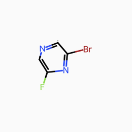 Fc1cn[c]c(Br)n1